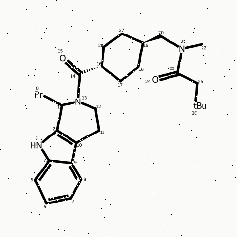 CC(C)C1c2[nH]c3ccccc3c2CCN1C(=O)[C@H]1CC[C@H](CN(C)C(=O)CC(C)(C)C)CC1